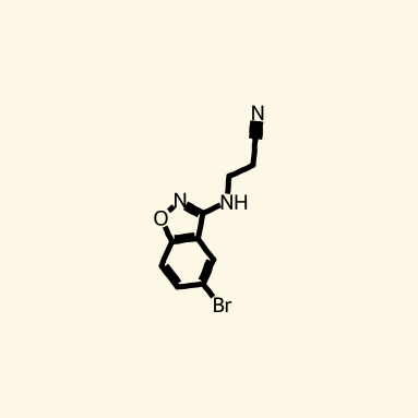 N#CCCNc1noc2ccc(Br)cc12